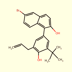 C=CCc1cc(-c2c(O)ccc3cc(Br)ccc23)cc(C(C)(C)C)c1O